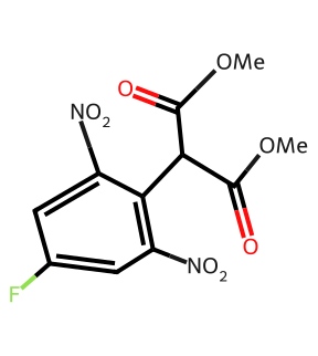 COC(=O)C(C(=O)OC)c1c([N+](=O)[O-])cc(F)cc1[N+](=O)[O-]